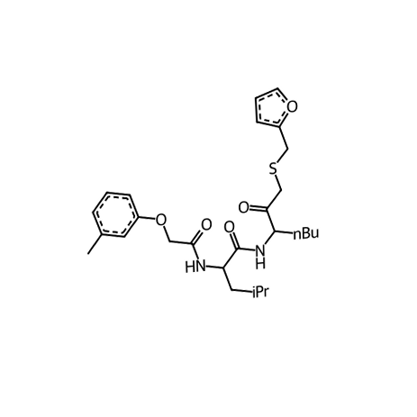 CCCCC(NC(=O)C(CC(C)C)NC(=O)COc1cccc(C)c1)C(=O)CSCc1ccco1